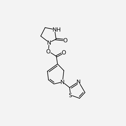 O=C(ON1CCNC1=O)C1=CC=CN(c2nccs2)C1